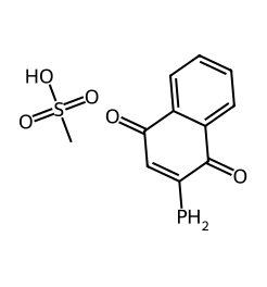 CS(=O)(=O)O.O=C1C=C(P)C(=O)c2ccccc21